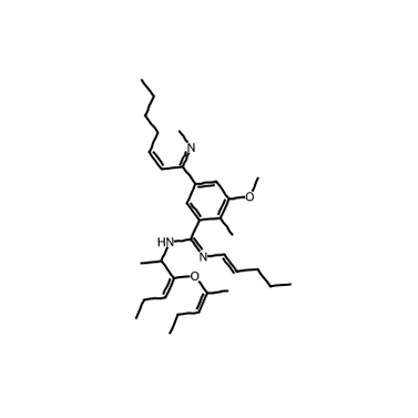 CC/C=C(/C)O/C(=C/CC)C(C)N/C(=N/C=C/CCC)c1cc(C(/C=C\CCCC)=N/C)cc(OC)c1C